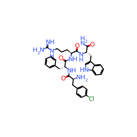 N=C(N)NCCC[C@H](NC(=O)[C@@H](Cc1ccccc1)NC(=O)[C@@H](N)Cc1ccc(Cl)cc1)C(=O)N[C@@H](Cc1c[nH]c2ccccc12)C(N)=O